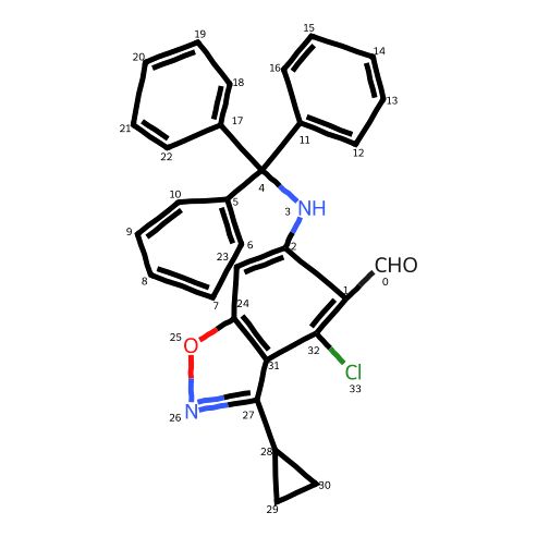 O=Cc1c(NC(c2ccccc2)(c2ccccc2)c2ccccc2)cc2onc(C3CC3)c2c1Cl